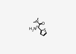 CN(C)C(=O)[C@@H](N)c1cccs1